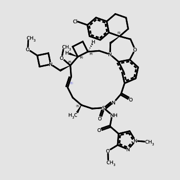 COc1nn(C)cc1C(=O)NS1(=O)=NC(=O)c2ccc3c(c2)N(C[C@@H]2CC[C@H]2[C@@](CN2CC(OC)C2)(OC)/C=C/C[C@H](C)C1)C[C@@]1(CCCc2cc(Cl)ccc21)CO3